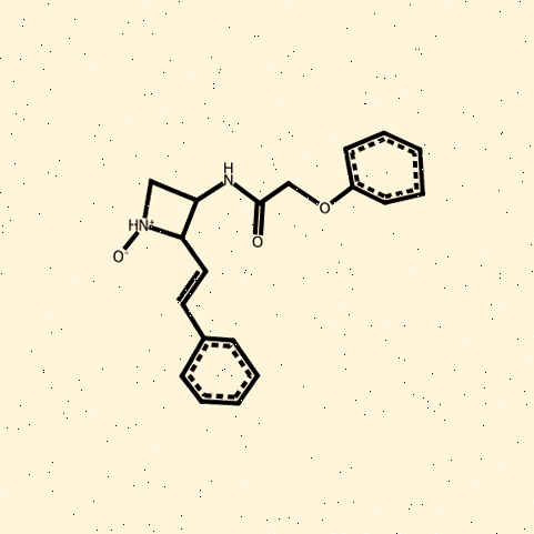 O=C(COc1ccccc1)NC1C[NH+]([O-])C1C=Cc1ccccc1